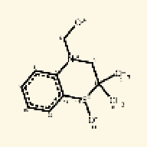 CC1(C)CN(C[O])c2ccccc2[S+]1[O-]